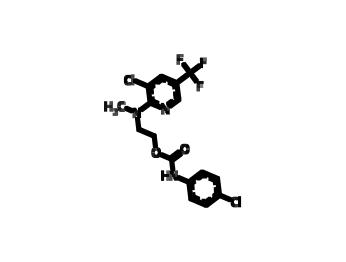 CN(CCOC(=O)Nc1ccc(Cl)cc1)c1ncc(C(F)(F)F)cc1Cl